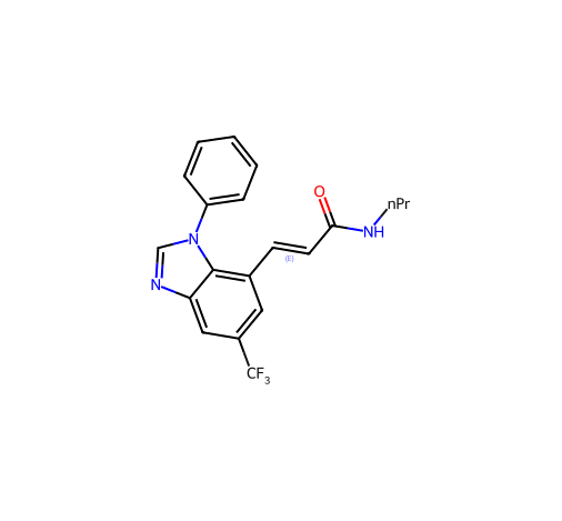 CCCNC(=O)/C=C/c1cc(C(F)(F)F)cc2ncn(-c3ccccc3)c12